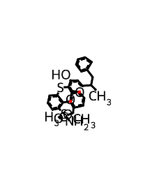 CCC(Cc1ccccc1)c1cc(O)c(Sc2cccc(S(N)(=O)=O)c2-c2ccccc2C(C)C)c(=O)o1